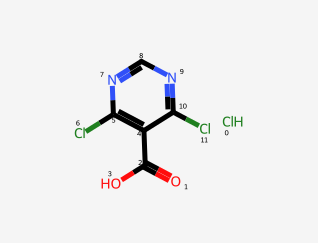 Cl.O=C(O)c1c(Cl)ncnc1Cl